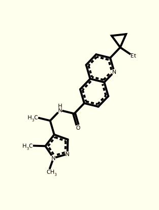 CCC1(c2ccc3cc(C(=O)NC(C)c4cnn(C)c4C)ccc3n2)CC1